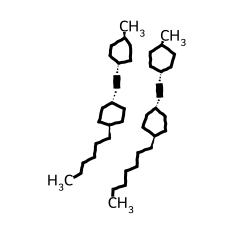 CCCCCCC[C@H]1CC[C@H](C#C[C@H]2CC[C@H](C)CC2)CC1.CCCCCC[C@H]1CC[C@H](C#C[C@H]2CC[C@H](C)CC2)CC1